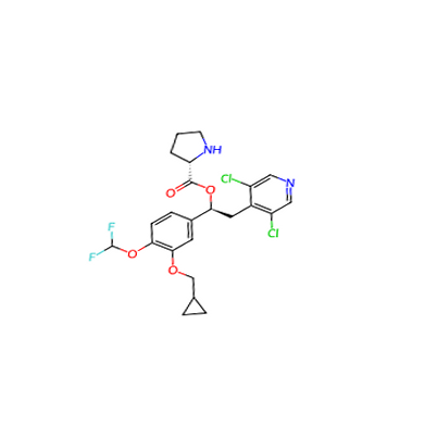 O=C(O[C@@H](Cc1c(Cl)cncc1Cl)c1ccc(OC(F)F)c(OCC2CC2)c1)[C@@H]1CCCN1